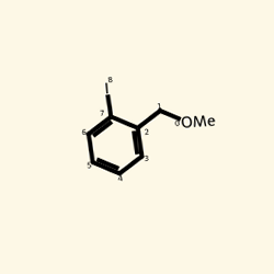 COCc1ccccc1I